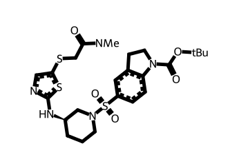 CNC(=O)CSc1cnc(N[C@@H]2CCCN(S(=O)(=O)c3ccc4c(c3)CCN4C(=O)OC(C)(C)C)C2)s1